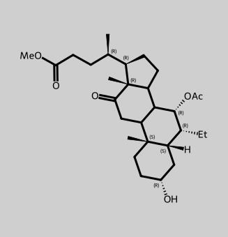 CC[C@H]1[C@@H](OC(C)=O)C2C3CC[C@H]([C@H](C)CCC(=O)OC)[C@@]3(C)C(=O)CC2[C@@]2(C)CC[C@@H](O)C[C@@H]12